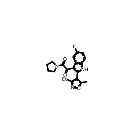 CCc1noc(C)c1-c1[nH]c2ccc(F)cc2c1C(=O)C(=O)N1CCCC1